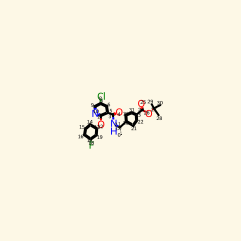 C[C@H](NC(=O)c1cc(Cl)cnc1Oc1cccc(F)c1)c1ccc(C(=O)OC(C)(C)C)cc1